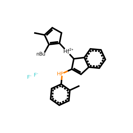 CCCCC1=[C]([Hf+2][CH]2C(Pc3ccccc3C)=Cc3ccccc32)CC=C1C.[F-].[F-]